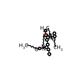 CCCCCCCCOc1ccc(-c2nc3c4cc(-c5ccccc5)ccc4c4ccc(-c5ccc6c7ccc(-c8ccccc8)cc7c7c(nc(-c8c(OCCCCCC)ccc9ccccc89)n7CCCCCC)c6c5)cc4c3n2CCCCCCCC)cc1